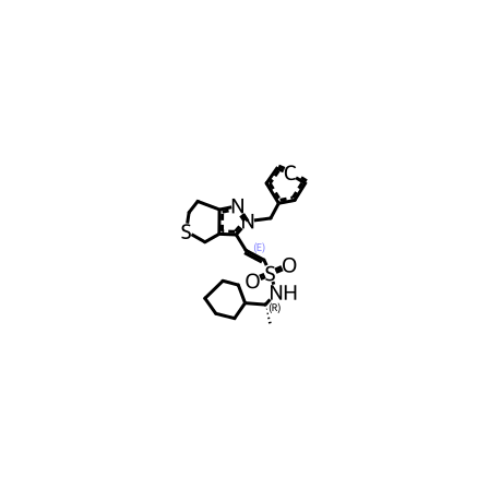 C[C@@H](NS(=O)(=O)/C=C/c1c2c(nn1Cc1ccccc1)CCSC2)C1CCCCC1